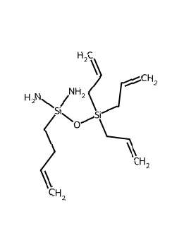 C=CCC[Si](N)(N)O[Si](CC=C)(CC=C)CC=C